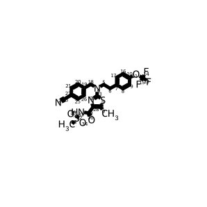 Cc1sc(N(CCc2ccc(OC(F)(F)F)cc2)Cc2ccc(C#N)cc2)nc1C(=O)NS(C)(=O)=O